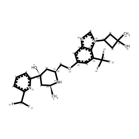 C[C@H]1C[C@@](O)(c2cccc(C(F)F)n2)C[C@@H](COc2cc(C(F)(F)F)c3c(c2)ncn3C2CC(C)(O)C2)N1